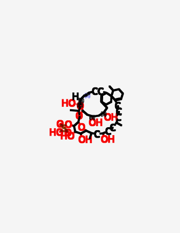 CC1CCCC2=CCCC(C)C23CCC2=CC3CC/C=C\[C@H](OC(=O)C[C@@H](O)C[C@@H](O)C2)[C@H](O)C(C)CC2OC(C(C)CC(O)CC1)C(O)C(O)C2OS(=O)(=O)O